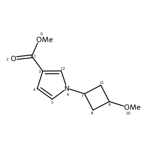 COC(=O)c1ccn(C2CC(OC)C2)c1